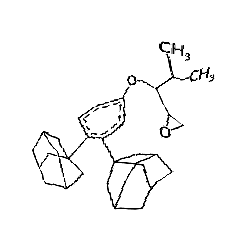 CC(C)C(Oc1ccc(C23CC4CC(CC(C4)C2)C3)c(C23CC4CC(CC(C4)C2)C3)c1)C1CO1